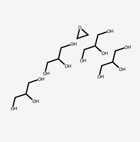 C1CO1.OCC(O)CO.OCC(O)CO.OCC(O)CO.OCC(O)CO